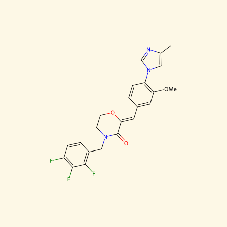 COc1cc(C=C2OCCN(Cc3ccc(F)c(F)c3F)C2=O)ccc1-n1cnc(C)c1